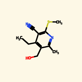 CCc1c(C#N)c(SC)nc(C)c1CO